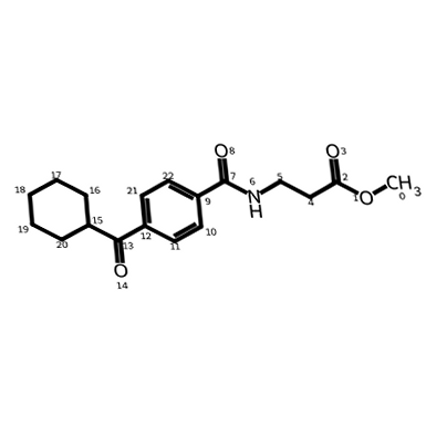 COC(=O)CCNC(=O)c1ccc(C(=O)C2CCCCC2)cc1